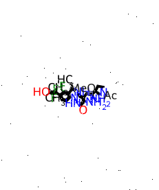 C#C[C@@H](Nc1n[nH]c(=O)c(N)c1/C=C(\N)C1(OC)CCN(C(C)=O)C1)c1cccc(C(F)(F)C(C)(C)O)c1F